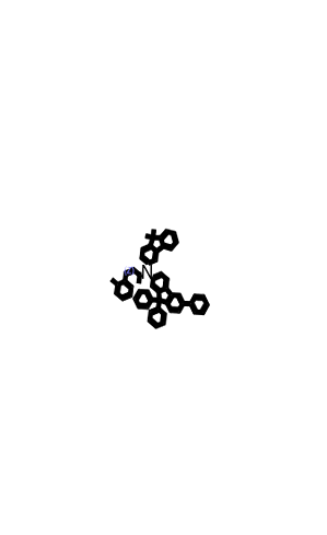 Cc1ccccc1/C=C\C(C)N(c1ccc2c(c1)-c1ccccc1C2(C)C)c1ccc2c(c1)C(c1ccccc1)(c1ccccc1)c1ccc(-c3ccccc3)cc1-2